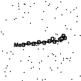 COCCOCCOCCOCCOCCOCC(=O)OCCN1CCS(=O)(=O)CC1